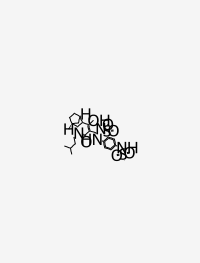 CC(C)CCN1C(=O)C(C2=NS(=O)(=O)c3cc(NS(C)(=O)=O)ccc3N2)=C(O)C2C1[C@@H]1CC[C@H]2C1